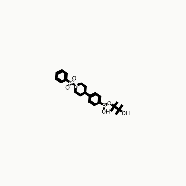 CC(C)(O)C(C)(C)OB(O)c1ccc(C2CCN(S(=O)(=O)c3ccccc3)CC2)cc1